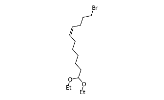 CCOC(CCCCC/C=C\CCCBr)OCC